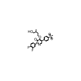 CC(CO)CCOc1c(-c2ccc(S(C)(=O)=O)cc2)cnn(-c2ccc(F)c(F)c2)c1=O